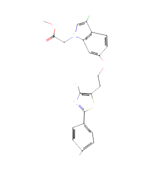 Cc1nc(-c2ccc(C(F)(F)F)cc2)sc1CCOc1ccc2c(Cl)cn(CC(=O)OC(C)(C)C)c2c1